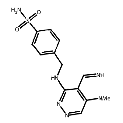 CNc1cnnc(NCc2ccc(S(N)(=O)=O)cc2)c1C=N